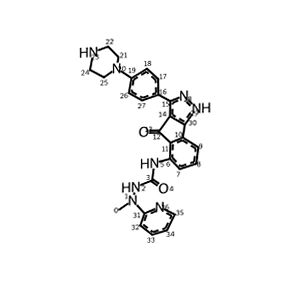 CN(NC(=O)Nc1cccc2c1C(=O)c1c(-c3ccc(N4CCNCC4)cc3)n[nH]c1-2)c1ccccn1